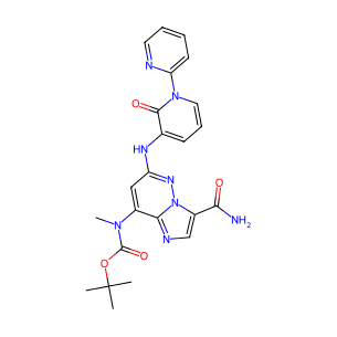 CN(C(=O)OC(C)(C)C)c1cc(Nc2cccn(-c3ccccn3)c2=O)nn2c(C(N)=O)cnc12